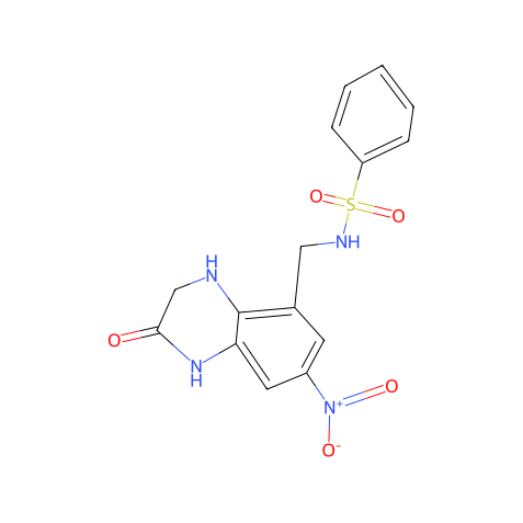 O=C1CNc2c(CNS(=O)(=O)c3ccccc3)cc([N+](=O)[O-])cc2N1